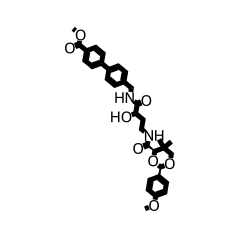 COC(=O)c1ccc(-c2ccc(CNC(=O)C(O)CCNC(=O)[C@@H]3O[C@H](c4ccc(OC)cc4)OCC3(C)C)cc2)cc1